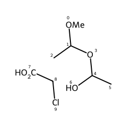 COC(C)OC(C)O.O=C(O)CCl